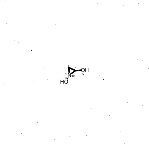 OC1C[N@]1O